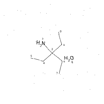 CCC(N)(CC)CC.O